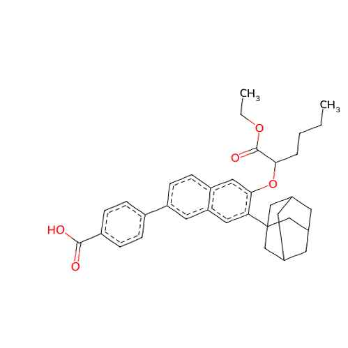 CCCCC(Oc1cc2ccc(-c3ccc(C(=O)O)cc3)cc2cc1C12CC3CC(CC(C3)C1)C2)C(=O)OCC